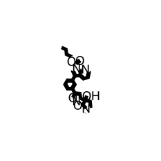 CCCCOC(=O)n1cc(-c2cccc(-c3cc(C4(O)CCN(C)C4=O)no3)c2)c2cccnc21